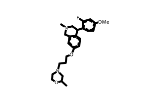 COc1ccc(C2CN(C)Cc3cc(OCCCN4CCOC(C)C4)ccc32)c(F)c1